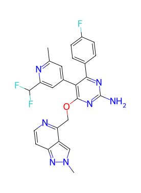 Cc1cc(-c2c(OCc3nccc4nn(C)cc34)nc(N)nc2-c2ccc(F)cc2)cc(C(F)F)n1